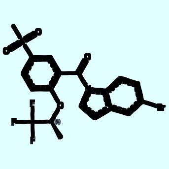 C[C@H](Oc1ccc(S(C)(=O)=O)cc1C(=O)n1ccc2cc(Br)ccc21)C(F)(F)F